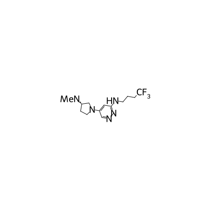 CN[C@@H]1CCN(c2cnnc(NCCCC(F)(F)F)c2)C1